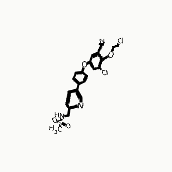 CS(=O)(=O)NCc1ccc(-c2ccc(Oc3cc(Cl)c(OCCCl)c(C#N)c3)cc2)cn1